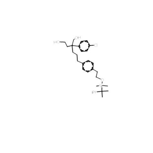 CC(C)C(C)(C)[Si](C)(C)OCCc1ccc(CCCC(CO)(CCO)c2ccc(Cl)cc2)cc1